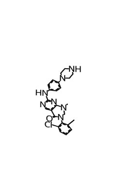 Cc1cccc(Cl)c1N1CN(C)c2nc(Nc3ccc(N4CCNCC4)cc3)ncc2C1=O